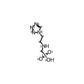 O=S(=O)(O)CNCCn1[c]nnn1